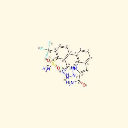 NC(=O)c1cc2cccc(-c3ccc(C(F)(F)F)c(S(N)(=O)=O)c3-c3nn[nH]n3)c2[nH]1